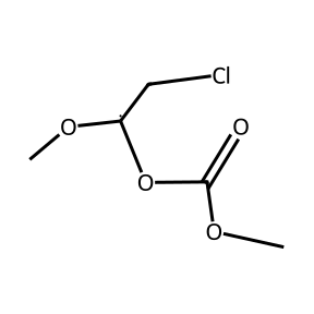 CO[C](CCl)OC(=O)OC